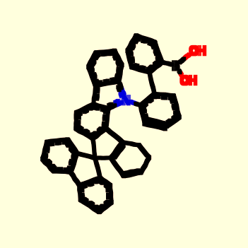 OB(O)c1ccccc1-c1ccc#cc1-n1c2ccccc2c2ccc3c(c21)C1=C(C=CCC1)C31c2ccccc2-c2ccccc21